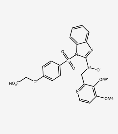 COc1ccnc(C[S+]([O-])c2nc3ccccc3n2S(=O)(=O)c2ccc(OCC(=O)O)cc2)c1OC